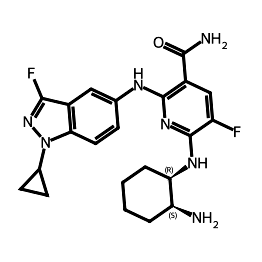 NC(=O)c1cc(F)c(N[C@@H]2CCCC[C@@H]2N)nc1Nc1ccc2c(c1)c(F)nn2C1CC1